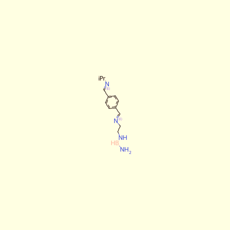 CC(C)/N=C/c1ccc(/C=N/CCNBN)cc1